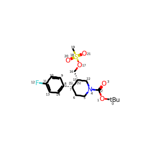 CC(C)(C)OC(=O)N1CC[C@H](c2ccc(F)cc2)[C@H](COS(C)(=O)=O)C1